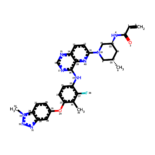 C=CC(=O)N[C@H]1C[C@H](C)CN(c2ccc3ncnc(Nc4ccc(Oc5ccc6c(c5)nnn6C)c(C)c4F)c3n2)C1